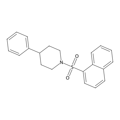 O=S(=O)(c1cccc2ccccc12)N1CCC(c2ccccc2)CC1